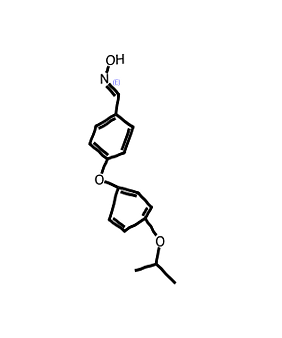 CC(C)Oc1ccc(Oc2ccc(/C=N/O)cc2)cc1